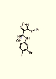 CCCSc1nonc1/C(=N/O)Nc1ccc(F)c(Br)c1